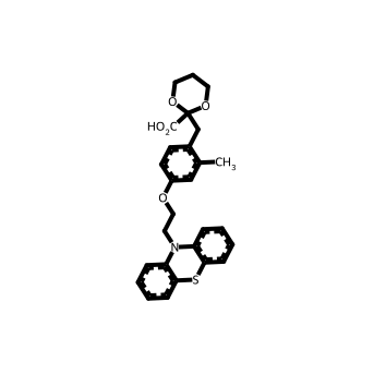 Cc1cc(OCCN2c3ccccc3Sc3ccccc32)ccc1CC1(C(=O)O)OCCCO1